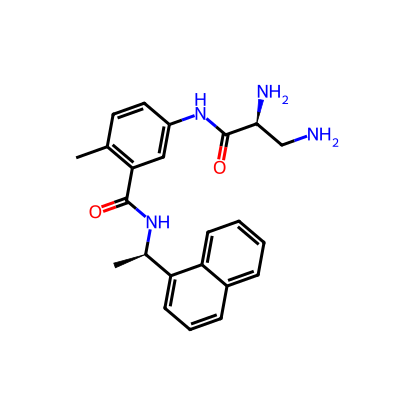 Cc1ccc(NC(=O)[C@@H](N)CN)cc1C(=O)N[C@H](C)c1cccc2ccccc12